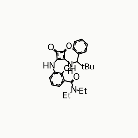 CCN(CC)C(=O)c1cccc(Nc2c(NC(c3ccccc3)C(C)(C)C)c(=O)c2=O)c1O